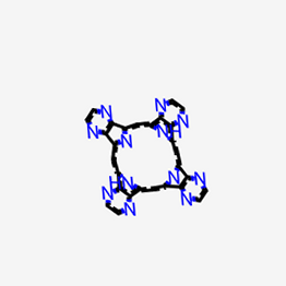 c1cnc2c(n1)-c1cc3[nH]c(cc4nc(cc5[nH]c(cc-2n1)c1nccnc51)-c1nccnc1-4)c1nccnc31